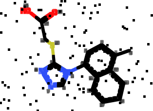 Cc1ccc(-n2cnnc2SCC(=O)O)c2ccccc12